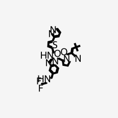 CC(C)(C)C=C(C#N)C(=O)N1CCCC1Cn1c(NC(=O)c2ccc(-c3cccnn3)s2)nc2cc(CNCC(F)F)ccc21